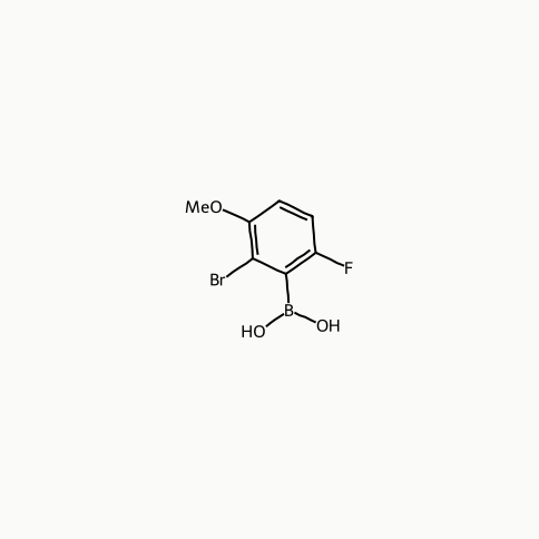 COc1ccc(F)c(B(O)O)c1Br